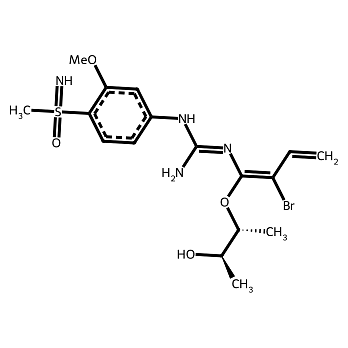 C=C/C(Br)=C(\N=C(/N)Nc1ccc(S(C)(=N)=O)c(OC)c1)O[C@H](C)[C@@H](C)O